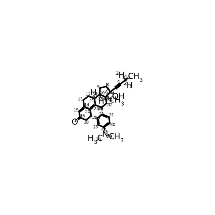 [2H]C([2H])(C)C#C[C@]1(O)CC[C@H]2[C@@H]3CCC4=CC(=O)CCC4=C3[C@@H](c3ccc(N(C)C)cc3)C[C@@]21C